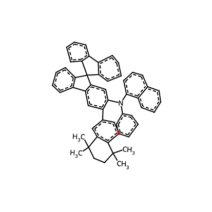 CC1(C)CCC(C)(C)c2cc(-c3cc4c(cc3N(c3ccccc3)c3cccc5ccccc35)C3(c5ccccc5-c5ccccc53)c3ccccc3-4)ccc21